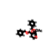 CC(=O)OC1OC2(COCc3ccccc3)CCOC1C2OCc1ccccc1